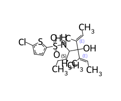 C/C=C(\C)C(O)(/C(C)=C/C)C(NS(=O)(=O)c1ccc(Cl)s1)[C@@H](C)CC